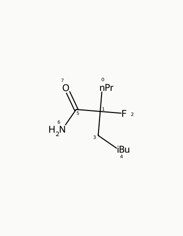 CCCC(F)(CC(C)CC)C(N)=O